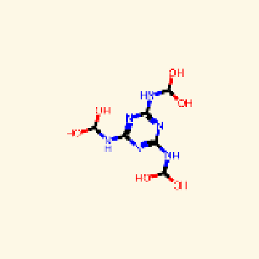 OC(O)Nc1nc(NC(O)O)nc(NC(O)O)n1